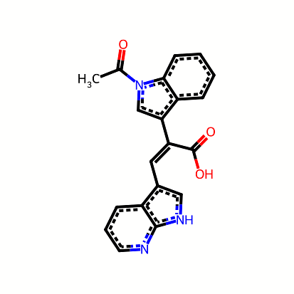 CC(=O)n1cc(C(=Cc2c[nH]c3ncccc23)C(=O)O)c2ccccc21